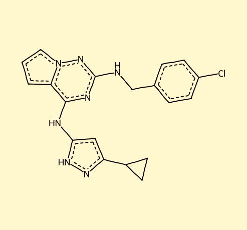 Clc1ccc(CNc2nc(Nc3cc(C4CC4)n[nH]3)c3cccn3n2)cc1